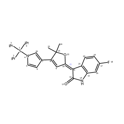 CC(C)S(C(C)C)(C(C)C)n1ccc(C2=C/C(=C3\C(=O)Nc4cc(F)ccc43)OC2(C)C)c1